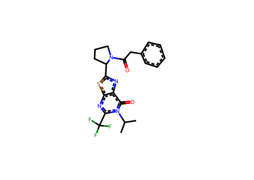 CC(C)n1c(C(F)(F)F)nc2sc(C3CCCN3C(=O)Cc3ccccc3)nc2c1=O